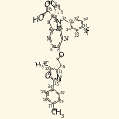 CC[C@@](Cc1ccc(OCCc2nc(-c3ccc(C)cc3)oc2C)cc1)(NCc1ccc(F)cc1)C(=O)O